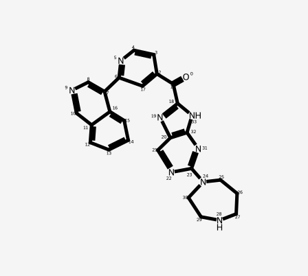 O=C(c1ccnc(-c2cncc3ccccc23)c1)c1nc2cnc(N3CCCNCC3)nc2[nH]1